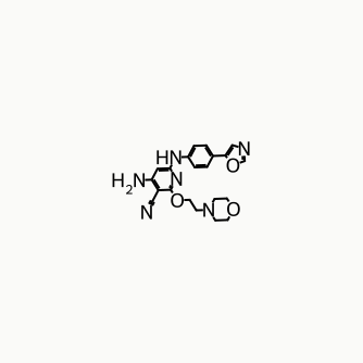 N#Cc1c(N)cc(Nc2ccc(-c3cnco3)cc2)nc1OCCN1CCOCC1